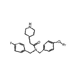 CC(C)Oc1ccc(CN(Cc2ccc(F)cc2)C(=O)CC2CCNCC2)cc1